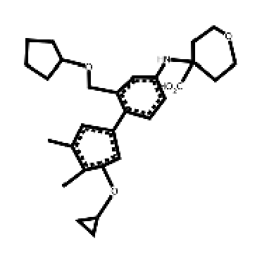 Cc1cc(-c2ccc(NC3(C(=O)O)CCOCC3)cc2COC2CCCC2)cc(OC2CC2)c1C